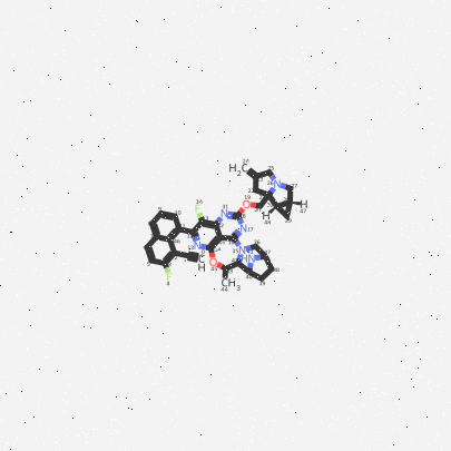 C#Cc1c(F)ccc2cccc(-c3nc4c5c(nc(OCC67CC(=C)CN6C[C@@H]6C[C@@H]67)nc5c3F)N3CC5CCC(N5)C3C(C)O4)c12